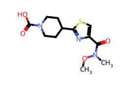 CON(C)C(=O)c1csc(C2CCN(C(=O)O)CC2)n1